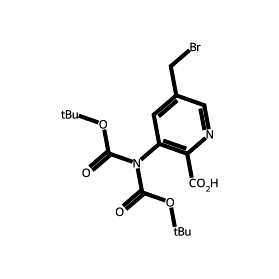 CC(C)(C)OC(=O)N(C(=O)OC(C)(C)C)c1cc(CBr)cnc1C(=O)O